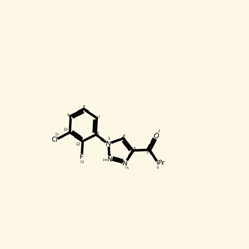 CC(C)C(=O)c1cn(-c2cccc(Cl)c2F)nn1